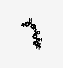 CC(C)(C)c1ccc(NC2CCN(CCC(=O)N3CCC[C@H](Nc4cncc(C(F)(F)F)c4)C3)CC2)cc1